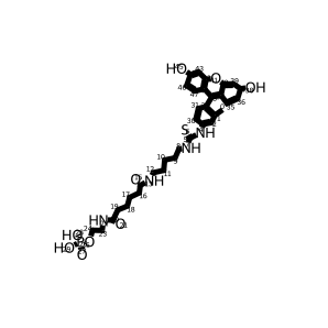 Cc1cc(NC(=S)NCCCCCNC(=O)CCCCC(=O)NCCOP(=O)(O)O)ccc1C1=C2C=CC(O)C=C2Oc2cc(O)ccc21